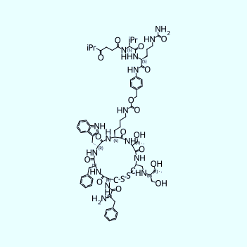 CC(C)C(=O)CCC(=O)N[C@H](C(=O)N[C@@H](CCCNC(N)=O)C(=O)Nc1ccc(COC(=O)NCCCC[C@@H]2NC(=O)[C@@H](Cc3c[nH]c4ccccc34)NC(=O)[C@H](Cc3ccccc3)NC(=O)[C@@H](NC(=O)[C@H](N)Cc3ccccc3)CSSCC(CN[C@H](CO)[C@@H](C)O)NC(=O)C([C@@H](C)O)NC2=O)cc1)C(C)C